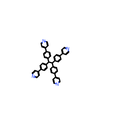 c1cc(-c2ccc(C(c3ccc(-c4ccncc4)cc3)C(c3ccc(-c4ccncc4)cc3)c3ccc(-c4ccncc4)cc3)cc2)ccn1